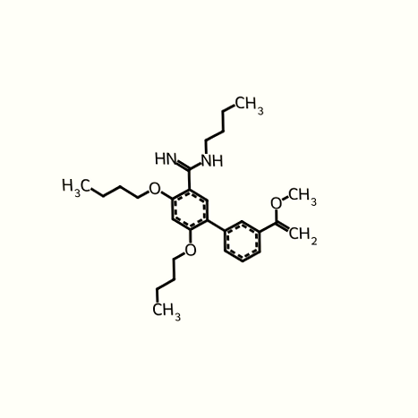 C=C(OC)c1cccc(-c2cc(C(=N)NCCCC)c(OCCCC)cc2OCCCC)c1